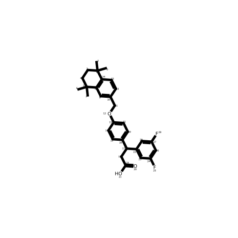 CC1(C)CCC(C)(C)c2cc(COc3ccc(C(CC(=O)O)c4cc(F)cc(F)c4)cc3)ccc21